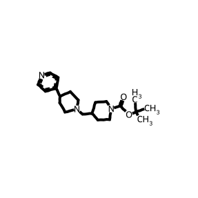 CC(C)(C)OC(=O)N1CCC(CN2CCC(c3ccncc3)CC2)CC1